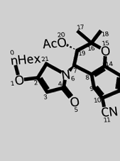 CCCCCCOC1=CC(=O)N([C@@H]2c3cc(C#N)ccc3OC(C)(C)[C@H]2OC(C)=O)C1